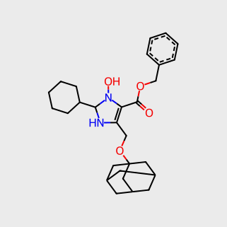 O=C(OCc1ccccc1)C1=C(COC23CC4CC(CC(C4)C2)C3)NC(C2CCCCC2)N1O